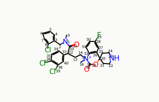 CN(Cc1ccccc1Cl)C(=O)C(CC[N+]1(C)C(=O)OC2(CCNCC2)c2cc(F)ccc21)c1ccc(Cl)c(Cl)c1